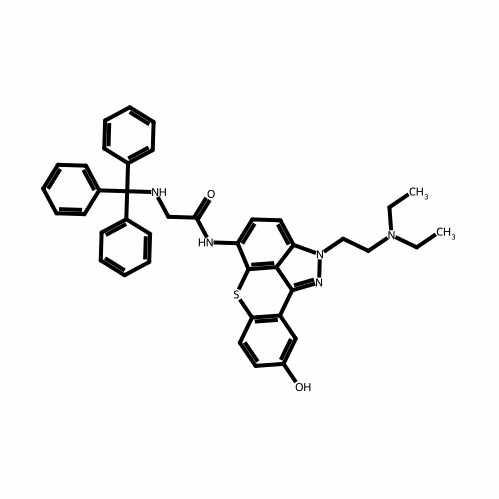 CCN(CC)CCn1nc2c3c(c(NC(=O)CNC(c4ccccc4)(c4ccccc4)c4ccccc4)ccc31)Sc1ccc(O)cc1-2